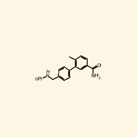 CCCNCc1ccc(-c2cc(C(N)=O)ccc2C)cc1